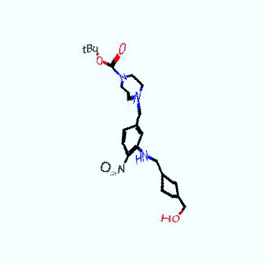 CC(C)(C)OC(=O)N1CCN(Cc2ccc([N+](=O)[O-])c(NCC3CC(CO)C3)c2)CC1